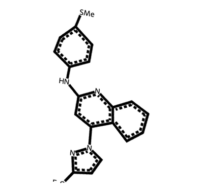 CSc1ccc(Nc2cc(-n3ccc(C(F)(F)F)n3)c3ccccc3n2)cc1